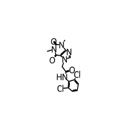 Cn1c(=O)c2c(ncn2CC(=O)Nc2c(Cl)cccc2Cl)n(C)c1=O